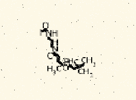 CCC(C)(C)CCOC(C)(C)CCC(=O)NCCCNC(=O)I